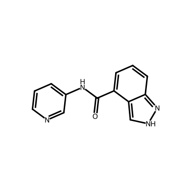 O=C(Nc1cccnc1)c1cccc2n[nH]cc12